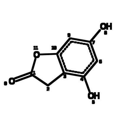 O=C1Cc2c(O)cc(O)cc2O1